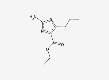 CCCc1sc(N)nc1C(=O)OCC